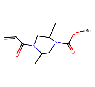 C=CC(=O)N1CC(C)N(C(=O)OC(C)(C)C)CC1C